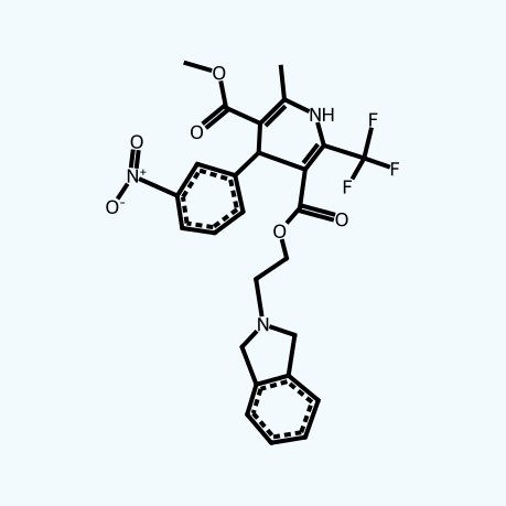 COC(=O)C1=C(C)NC(C(F)(F)F)=C(C(=O)OCCN2Cc3ccccc3C2)C1c1cccc([N+](=O)[O-])c1